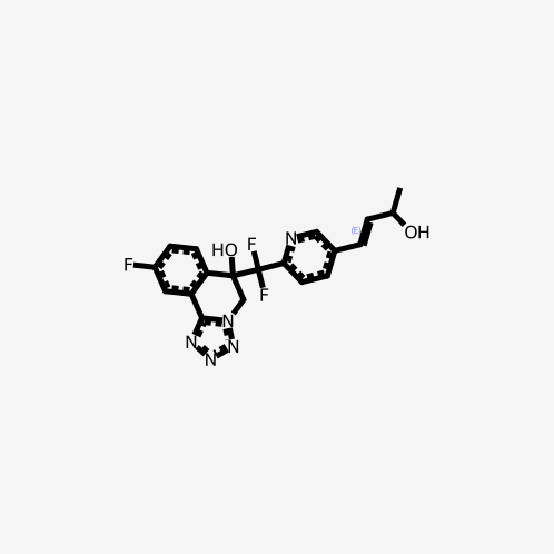 CC(O)/C=C/c1ccc(C(F)(F)C2(O)Cn3nnnc3-c3cc(F)ccc32)nc1